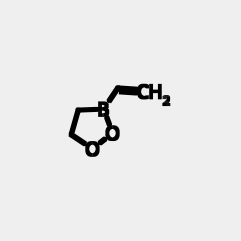 C=CB1CCOO1